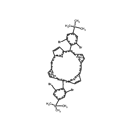 C[Si](C)(C)c1cc(Br)c(-c2c3nc(cc4ccc([nH]4)c(-c4c(Br)cc([Si](C)(C)C)cc4Br)c4nc(cc5ccc2[nH]5)C=C4)C=C3)c(Br)c1